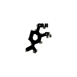 C=C(F)c1ccc(C(=O)O)c(C(F)(F)F)c1